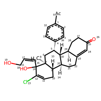 CC(=O)c1ccc([C@H]2C[C@@]3(C)[C@@H](CC=C(Cl)C3(O)/C=C\CO)[C@@H]3CCC4=CC(=O)CC[C@@H]4[C@H]32)cc1